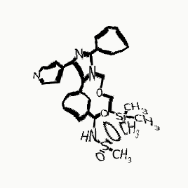 C[Si](C)(C)CCOCn1c(-c2ccccc2)nc(-c2ccncc2)c1-c1cccc(C(=O)NS(C)(=O)=O)c1